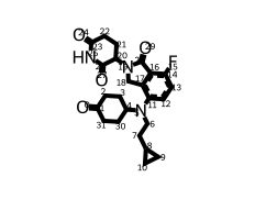 O=C1CCC(N(CCC2CC2)c2ccc(F)c3c2CN(C2CCC(=O)NC2=O)C3=O)CC1